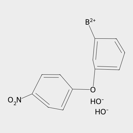 [B+2]c1cccc(Oc2ccc([N+](=O)[O-])cc2)c1.[OH-].[OH-]